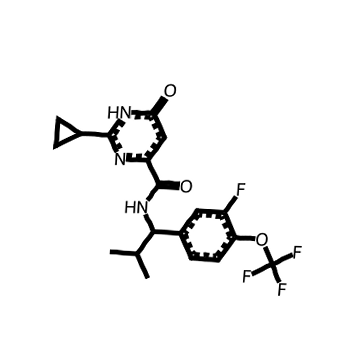 CC(C)C(NC(=O)c1cc(=O)[nH]c(C2CC2)n1)c1ccc(OC(F)(F)F)c(F)c1